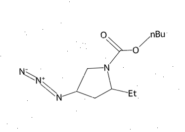 CCCCOC(=O)N1CC(N=[N+]=[N-])CC1CC